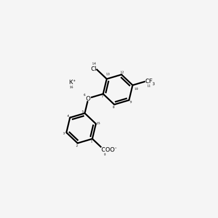 O=C([O-])c1cccc(Oc2ccc(C(F)(F)F)cc2Cl)c1.[K+]